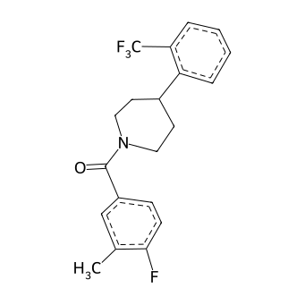 Cc1cc(C(=O)N2CCC(c3ccccc3C(F)(F)F)CC2)ccc1F